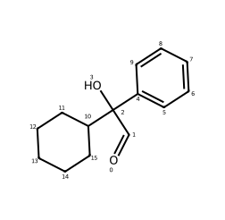 O=CC(O)(c1ccccc1)C1CCCCC1